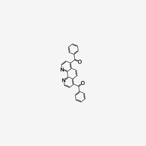 O=C(c1ccccc1)c1ccnc2c1ccc1c(C(=O)c3ccccc3)ccnc12